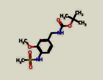 COc1cc(CNC(=O)OC(C)(C)C)ccc1NS(C)(=O)=O